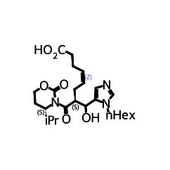 CCCCCCn1cncc1C(O)[C@H](C/C=C\CCC(=O)O)C(=O)N1C(=O)OCC[C@H]1C(C)C